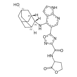 O=C(NC1CCOC1=O)c1noc(-c2cnc3[nH]ccc3c2N[C@H]2[C@@H]3CC4C[C@H]2C[C@@](O)(C4)C3)n1